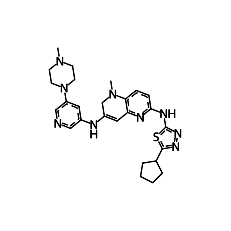 CN1CCN(c2cncc(NC3=Cc4nc(Nc5nnc(C6CCCC6)s5)ccc4N(C)C3)c2)CC1